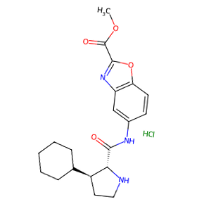 COC(=O)c1nc2cc(NC(=O)[C@@H]3NCC[C@H]3C3CCCCC3)ccc2o1.Cl